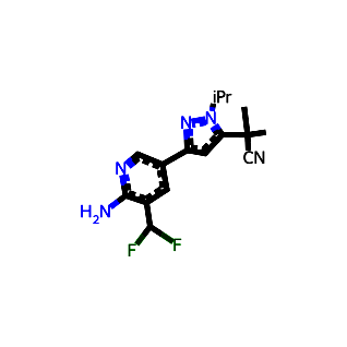 CC(C)n1nc(-c2cnc(N)c(C(F)F)c2)cc1C(C)(C)C#N